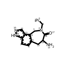 CC(C)CN1Cc2c(ccc3[nH]ncc23)CC(N)C1=O